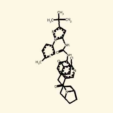 Cc1ccc(-n2nc(C(C)(C)C)cc2NC(=O)Nc2ccc(CC3CC4CCC(C3)N4C(=O)c3cnc(Cl)c(Cl)c3)cc2)cc1